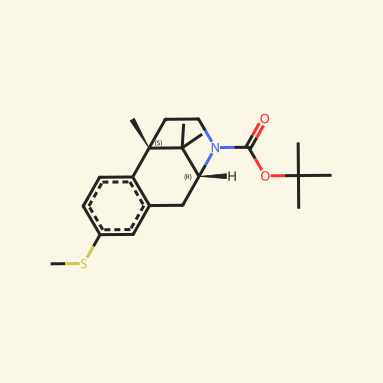 CSc1ccc2c(c1)C[C@H]1N(C(=O)OC(C)(C)C)CC[C@]2(C)C1(C)C